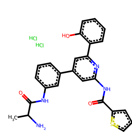 CC(N)C(=O)Nc1cccc(-c2cc(NC(=O)c3cccs3)nc(-c3ccccc3O)c2)c1.Cl.Cl